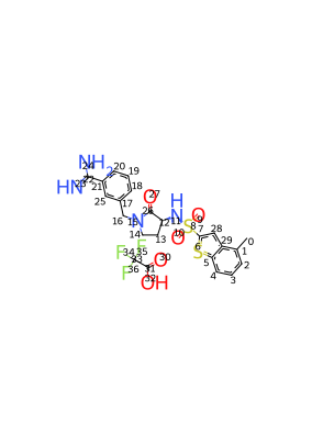 Cc1cccc2sc(S(=O)(=O)N[C@H]3CCN(Cc4cccc(C(=N)N)c4)C3=O)cc12.O=C(O)C(F)(F)F